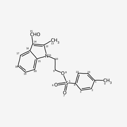 Cc1ccc(S(=O)(=O)OCCn2c(C)c(C=O)c3ccccc32)cc1